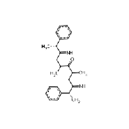 CC(CC(=N)[C@H](C)c1ccccc1)C(=O)C(C)CC(=N)[C@H](C)c1ccccc1